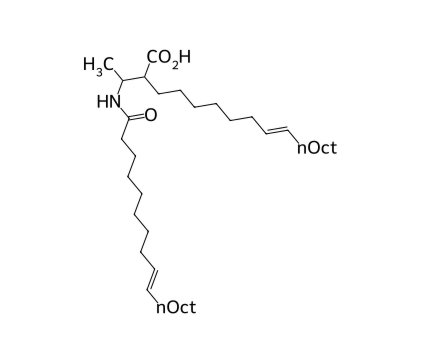 CCCCCCCCC=CCCCCCCCC(=O)NC(C)C(CCCCCCC=CCCCCCCCC)C(=O)O